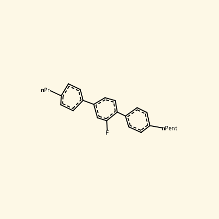 CCCCCc1ccc(-c2ccc(-c3ccc(CCC)cc3)cc2F)cc1